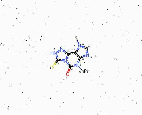 CCCn1c(=O)n2c(=S)[nH]nc2c2c1ncn2C